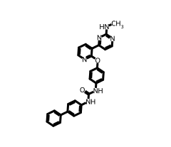 CNc1nccc(-c2cccnc2Oc2ccc(NC(=O)Nc3ccc(-c4ccccc4)cc3)cc2)n1